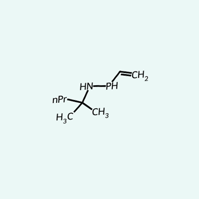 C=CPNC(C)(C)CCC